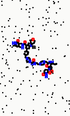 C=C/C=C(/NCCN1CCN(CCNC(=O)CN2CCN(CC(=C)/C=C\C(=C)c3cc(C(=O)NCc4c(C)cc(C)[nH]c4=O)c(C)c(N(CC)C4CCOCC4)c3)CC2)CC1)C1=CC(=O)N(C2CCC(=O)NC2=O)C1=O